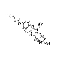 CC(C)CN(/C(=N/c1ccc(OCCCC(F)(F)F)cc1)NC#N)c1ccc2nc(S)sc2c1